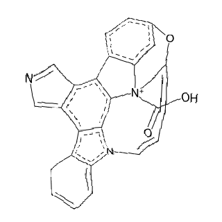 O=C(O)[N+]12/C3=C\C=C/n4c5c(c6c7c(c(c1c64)-c1ccc(cc12)O3)C=NC=7)CC=CC=5